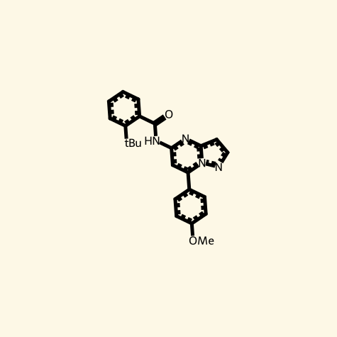 COc1ccc(-c2cc(NC(=O)c3ccccc3C(C)(C)C)nc3ccnn23)cc1